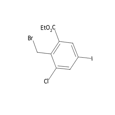 CCOC(=O)c1cc(I)cc(Cl)c1CBr